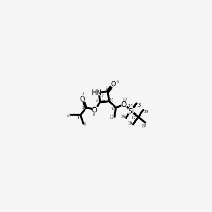 CC(C)C(=O)OC1NC(=O)C1C(C)O[Si](C)(C)C(C)(C)C